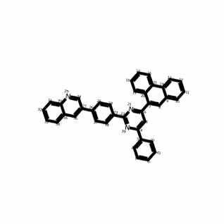 c1ccc(-c2cc(-c3cc4ccccc4c4ccccc34)nc(-c3ccc(-c4cnc5ccccc5c4)cc3)n2)cc1